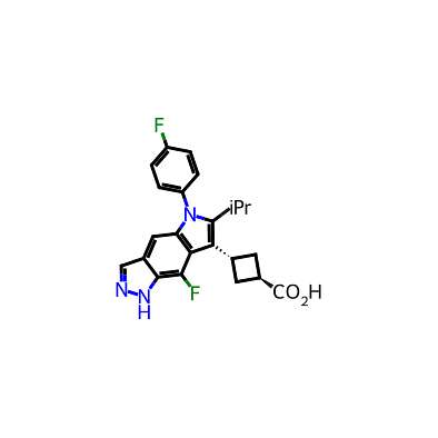 CC(C)c1c([C@H]2C[C@H](C(=O)O)C2)c2c(F)c3[nH]ncc3cc2n1-c1ccc(F)cc1